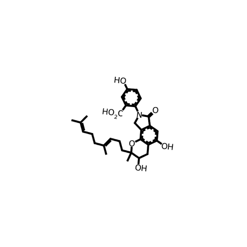 CC(C)=CCC/C(C)=C/CCC1(C)Oc2c(c(O)cc3c2CN(c2ccc(O)cc2C(=O)O)C3=O)CC1O